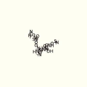 Cc1ncsc1-c1ccc(C(C)NC(=O)[C@@H]2C[C@@H](O)CN2C(=O)C(NC(=O)CCCN(C)C(C(=O)NC(C(=O)N(C)CCOc2ccc(N3C(=S)N(c4ccc(C#N)c(C(F)(F)F)c4)C(=O)C3(C)C)cc2)C(C)C)C(C)C)C(C)(C)C)cc1